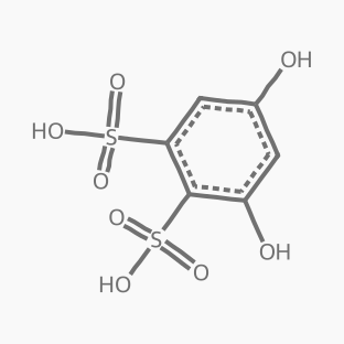 O=S(=O)(O)c1cc(O)cc(O)c1S(=O)(=O)O